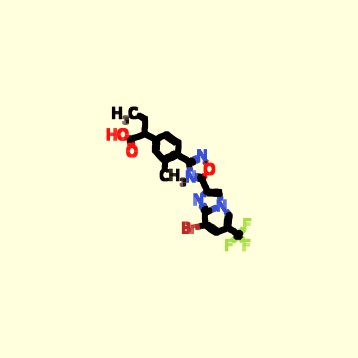 CCC(C(=O)O)c1ccc(-c2noc(-c3cn4cc(C(F)(F)F)cc(Br)c4n3)n2)c(C)c1